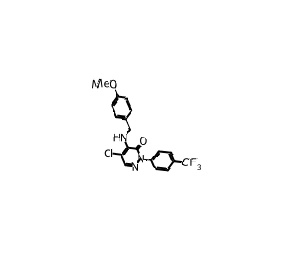 COc1ccc(CNc2c(Cl)cnn(-c3ccc(C(F)(F)F)cc3)c2=O)cc1